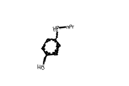 CCCPc1ccc(O)cc1